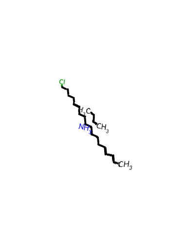 CCCC.CCCCCCCCCCCCCCCCCCCl.N